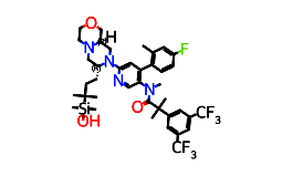 Cc1cc(F)ccc1-c1cc(N2C[C@@H]3COCCN3C[C@H]2CCC(C)(C)[Si](C)(C)O)ncc1N(C)C(=O)C(C)(C)c1cc(C(F)(F)F)cc(C(F)(F)F)c1